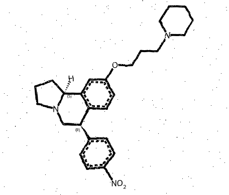 O=[N+]([O-])c1ccc([C@H]2CN3CCC[C@H]3c3cc(OCCCN4CCCCC4)ccc32)cc1